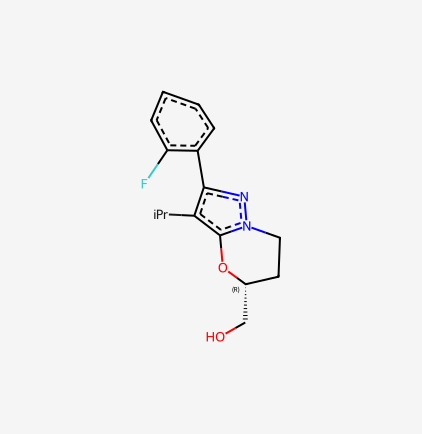 CC(C)c1c(-c2ccccc2F)nn2c1O[C@@H](CO)CC2